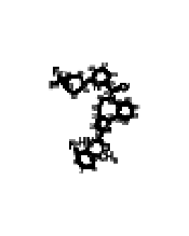 Cc1cccc(F)c1NC(=O)c1cc2c(s1)-c1ccccc1N(C(=O)c1cccc(N3CCC4C(C3)C4(F)F)n1)CC2